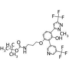 Cn1nc(C(F)(F)F)cc1-c1ccc(OCCCNC(=O)OC(C)(C)C)c(-c2cncc(C(F)(F)F)c2)c1O